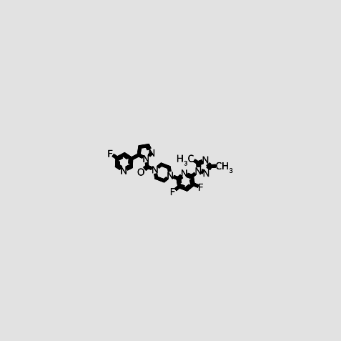 Cc1nc(C)n(-c2nc(N3CCN(C(=O)N4N=CCC4c4cncc(F)c4)CC3)c(F)cc2F)n1